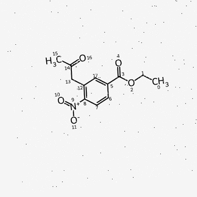 CCOC(=O)c1ccc([N+](=O)[O-])c(CC(C)=O)c1